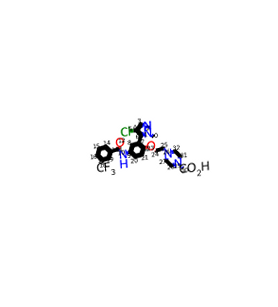 Cn1ncc(Cl)c1-c1cc(NC(=O)c2cccc(C(F)(F)F)c2)ccc1OCCN1CCN(C(=O)O)CC1